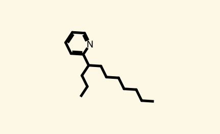 CCCCCCCC(CCC)c1ccccn1